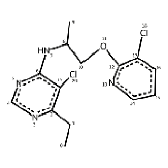 CCc1ncnc(NC(C)COc2ncccc2Cl)c1Cl